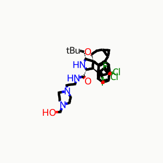 CC(C)(C)C[C@H]1N[C@@H](C(=O)NCCN2CCN(CO)CC2)[C@H](c2cccc(Cl)c2F)[C@@]12C(=O)CC1CC1c1cc(Cl)c(F)cc12